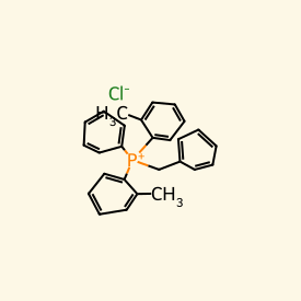 Cc1ccccc1[P+](Cc1ccccc1)(c1ccccc1)c1ccccc1C.[Cl-]